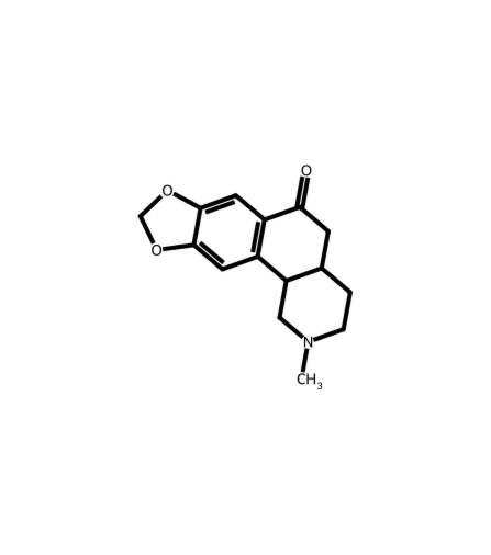 CN1CCC2CC(=O)c3cc4c(cc3C2C1)OCO4